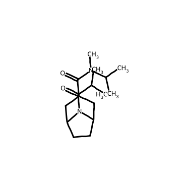 CC(C)C(=O)N1C2CCC1CC(C(=O)N(C)C(C)C)C2